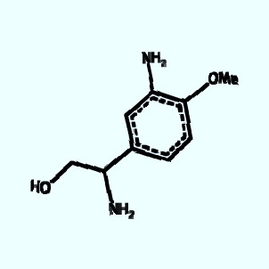 COc1ccc(C(N)CO)cc1N